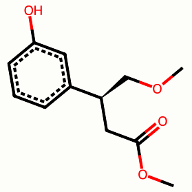 COC[C@@H](CC(=O)OC)c1cccc(O)c1